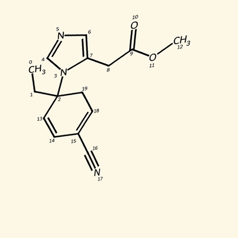 CCC1(n2cncc2CC(=O)OC)C=CC(C#N)=CC1